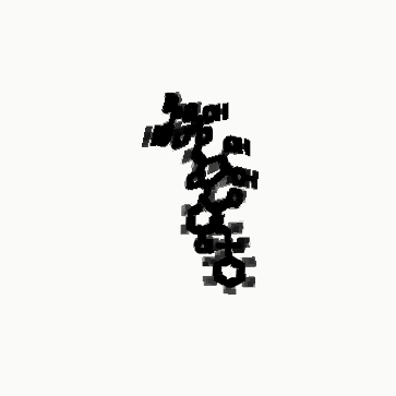 O=c1ccn(C2OC(COP(=O)(O)O[PH](=O)O)[C@H](O)C2O)c(=O)n1CC(F)(F)c1ccccc1